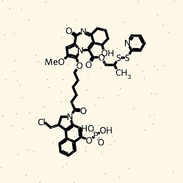 COc1cc2c(=O)nc3c(c(C(=O)OCC(C)SSc4ccccn4)n2c1OCCCCCC(=O)N1CC(CCl)c2c1cc(OP(=O)(O)O)c1ccccc21)C(O)CCC3